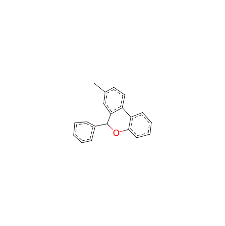 Cc1ccc2c(c1)C(c1ccccc1)Oc1ccccc1-2